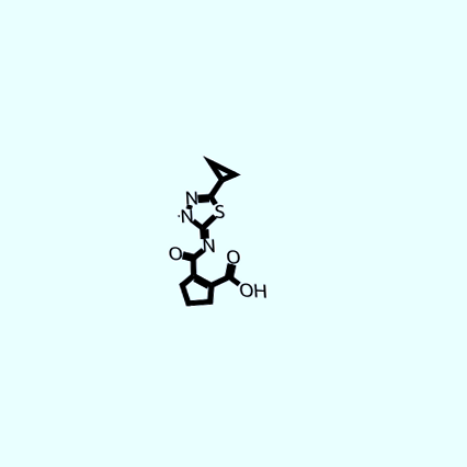 O=C(O)C1=C(C(=O)N=C2[N]N=C(C3CC3)S2)CCC1